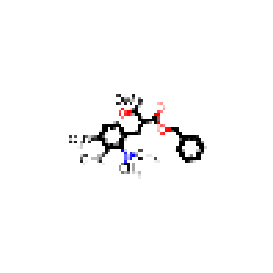 COC(=O)C(Cc1ccc([N+](=O)[O-])c(C=O)c1N(C)C)C(=O)OCc1ccccc1